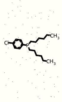 CCCCCCP(CCCCCC)c1ccc(Cl)cc1